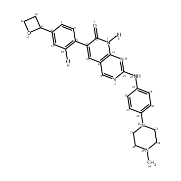 CCn1c(=O)c(-c2ccc(C3CCO3)cc2Cl)cc2cnc(Nc3ccc(N4CCN(C)CC4)cc3)nc21